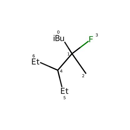 CCC(C)C(C)(F)C(CC)CC